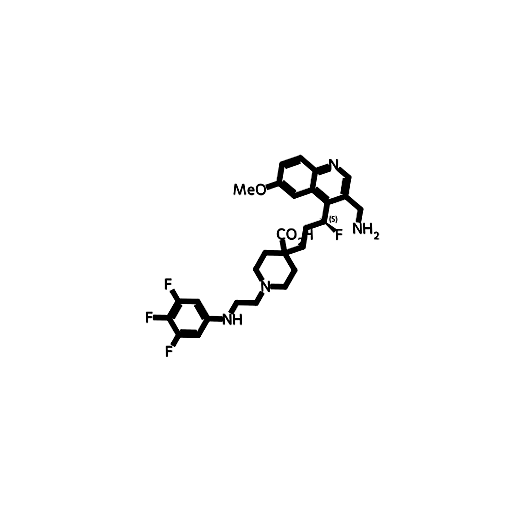 COc1ccc2ncc(CN)c([C@@H](F)CCC3(C(=O)O)CCN(CCNc4cc(F)c(F)c(F)c4)CC3)c2c1